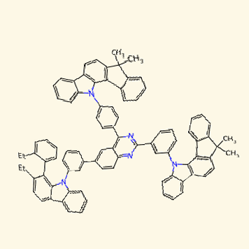 CCc1ccccc1-c1c(CC)ccc2c3ccccc3n(-c3cccc(-c4ccc5nc(-c6cccc(-n7c8ccccc8c8ccc9c(c87)-c7ccccc7C9(C)C)c6)nc(-c6ccc(-n7c8ccccc8c8ccc9c(c87)-c7ccccc7C9(C)C)cc6)c5c4)c3)c12